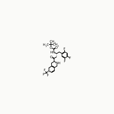 CC(C)(C)OC(=O)N[C@@H](CC(=O)C1CC2=C(C=CN(C(F)(F)F)C2)CN1)Cc1cc(F)c(F)cc1F